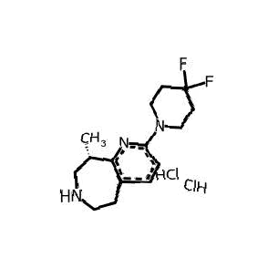 C[C@H]1CNCCc2ccc(N3CCC(F)(F)CC3)nc21.Cl.Cl